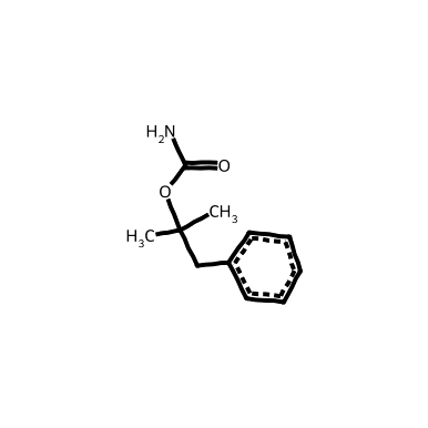 CC(C)(Cc1ccccc1)OC(N)=O